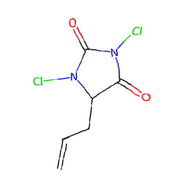 C=CCC1C(=O)N(Cl)C(=O)N1Cl